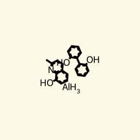 Cc1ccc2cccc(O)c2n1.Oc1ccccc1-c1ccccc1O.[AlH3]